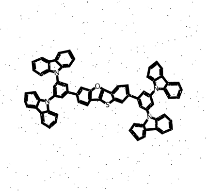 c1ccc2c(c1)c1ccccc1n2-c1cc(-c2ccc3c(c2)oc2c4ccc(-c5cc(-n6c7ccccc7c7ccccc76)cc(-n6c7ccccc7c7ccccc76)c5)cc4sc32)cc(-n2c3ccccc3c3ccccc32)c1